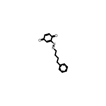 O=C1C=CC(=O)C(N=NCCCCc2ccccc2)=C1